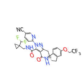 N#Cc1ccc(-n2nc3c(c2C(=O)NCC2(C(F)F)CC2)C(=O)N[C@@]2(CCc4cc(OCC(F)(F)F)ccc42)C3)nc1